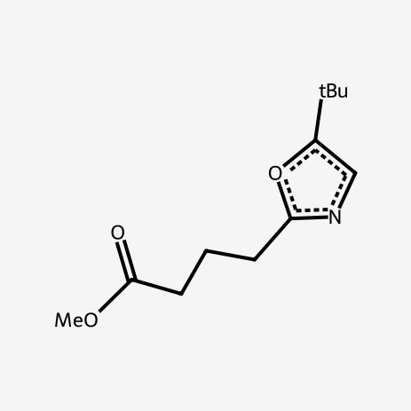 COC(=O)CCCc1ncc(C(C)(C)C)o1